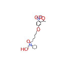 CC(=O)c1cc(OCCCCCCC(=O)N(CCO)C2CCCCC2)ccc1[N+](=O)[O-]